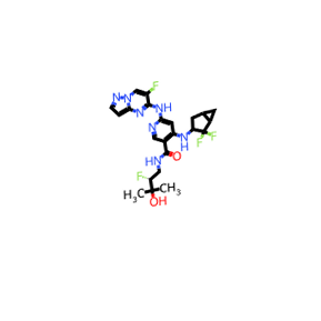 CC(C)(O)[C@H](F)CNC(=O)c1cnc(Nc2nc3ccnn3cc2F)cc1NC1CC2CC2C1(F)F